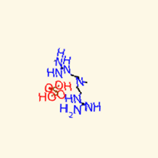 CNC(=N)NCCN(C)CCNC(=N)N.O=S(=O)(O)O